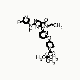 C=CCn1c(=O)c2cnc(Nc3cncc(F)c3)nc2n1-c1cccc(OC2CCN(C(=O)OC(C)(C)C)CC2)n1